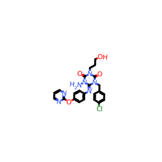 Nn1c(=O)n(CCCO)c(=O)n(Cc2ccc(Cl)cc2)/c1=N/c1ccc(Oc2ncccn2)cc1